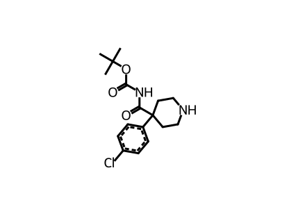 CC(C)(C)OC(=O)NC(=O)C1(c2ccc(Cl)cc2)CCNCC1